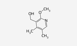 COc1ncc(C)c(C)c1CO